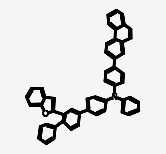 c1ccc(-c2ccc(-c3ccc(N(c4ccccc4)c4ccc(-c5ccc6c(ccc7ccccc76)c5)cc4)cc3)cc2-c2cc3ccccc3o2)cc1